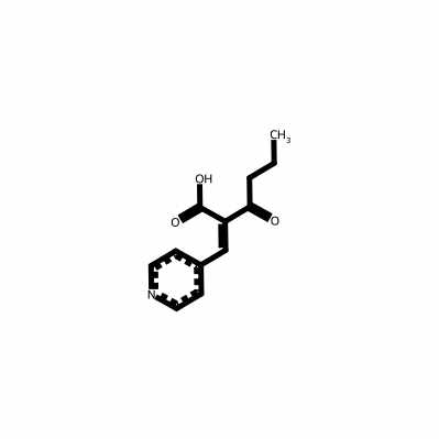 CCCC(=O)/C(=C/c1ccncc1)C(=O)O